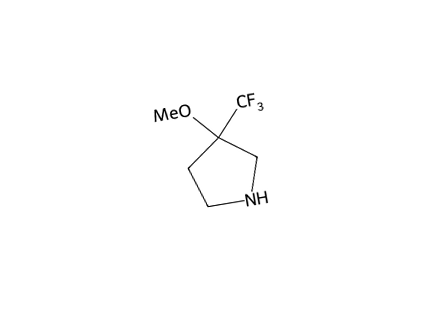 COC1(C(F)(F)F)CCNC1